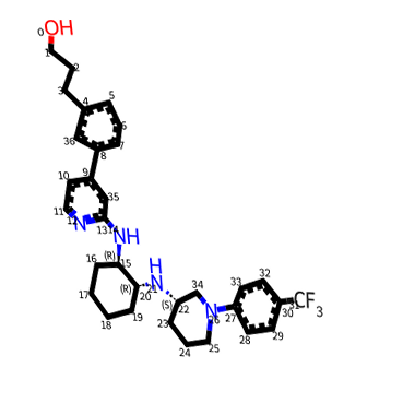 OCCCc1cccc(-c2ccnc(N[C@@H]3CCCC[C@H]3N[C@H]3CCCN(c4ccc(C(F)(F)F)cc4)C3)c2)c1